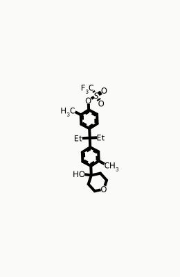 CCC(CC)(c1ccc(OS(=O)(=O)C(F)(F)F)c(C)c1)c1ccc(C2(O)CCOCC2)c(C)c1